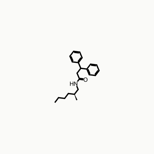 CCCC[C@H](C)CNC(=O)CC(c1ccccc1)c1ccccc1